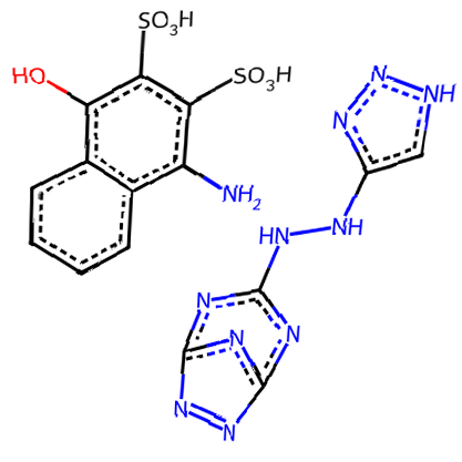 Nc1c(S(=O)(=O)O)c(S(=O)(=O)O)c(O)c2ccccc12.c1[nH]nnc1NNc1nc2nc(n1)N=N2